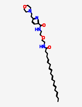 CCC=CCC=CCC=CCC=CCC=CCCCC(=O)NCCOCCNC(=O)c1ccc(CCN2CCOCC2)nc1